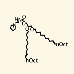 CCCCCCCCC=CCCCCCCCCOCC(COC(=O)NCCN1CCCC1)OCCCCCCCCC=CCCCCCCCC